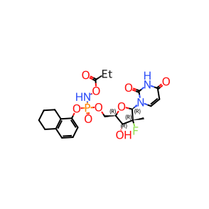 CCC(=O)ONP(=O)(OC[C@H]1O[C@@H](n2ccc(=O)[nH]c2=O)[C@](C)(F)[C@@H]1O)Oc1cccc2c1CCCC2